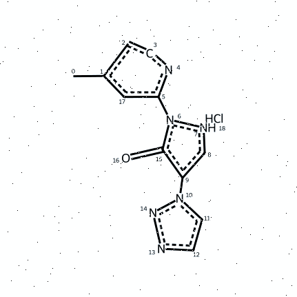 Cc1ccnc(-n2[nH]cc(-n3ccnn3)c2=O)c1.Cl